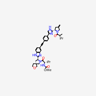 C=C1C[C@@H](c2nc(-c3ccc(C#Cc4ccc5[nH]c([C@@H]6C[C@]7(CCOC7)CN6C(=O)[C@@H](NC(=O)OC)C(C)C)nc5c4)cc3)c[nH]2)N(C(=O)[C@@H](C)C(C)C)C1